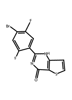 O=c1nc(-c2cc(F)c(Br)cc2F)[nH]c2ccsc12